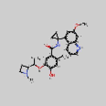 COc1cc(C2(NC(=O)c3cc(OC([SiH3])[C@@H]4CCN4C)c(O)cc3C)CC2)c2cccnc2c1